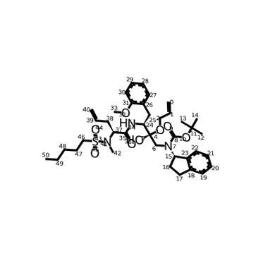 C=CCO[C@](O)(CN(C(=O)OC(C)(C)C)[C@H]1CCc2ccccc21)[C@H](Cc1ccccc1OC)NC(=O)[C@H](CC=C)N(C)S(=O)(=O)CCCCC